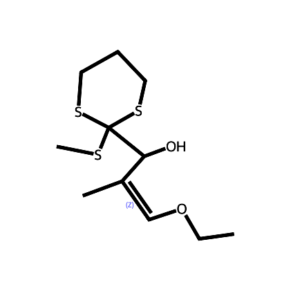 CCO/C=C(/C)C(O)C1(SC)SCCCS1